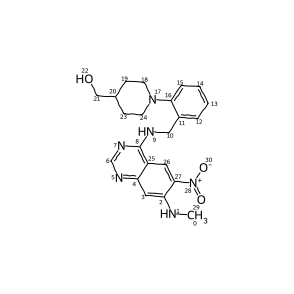 CNc1cc2ncnc(NCc3ccccc3N3CCC(CO)CC3)c2cc1[N+](=O)[O-]